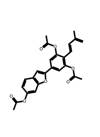 C=C(C)/C=C/c1c(OC(C)=O)cc(-c2cc3ccc(OC(C)=O)cc3o2)cc1OC(C)=O